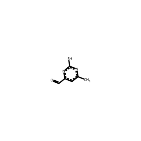 Cc1cc(C=O)nc(S)n1